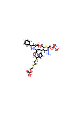 NCCCCC(NC(CCc1ccccc1)C(=O)OCCSCCO[N+](=O)[O-])C(=O)N1CCCC1C(=O)OCCSCCO[N+](=O)[O-]